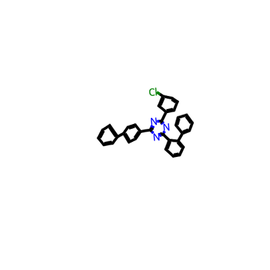 Clc1cccc(-c2nc(-c3ccc(-c4ccccc4)cc3)nc(-c3ccccc3-c3ccccc3)n2)c1